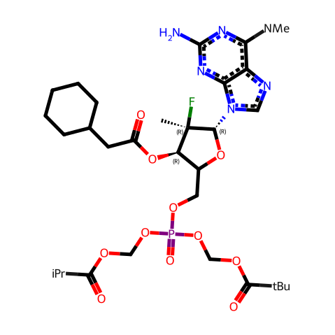 CNc1nc(N)nc2c1ncn2[C@@H]1OC(COP(=O)(OCOC(=O)C(C)C)OCOC(=O)C(C)(C)C)[C@@H](OC(=O)CC2CCCCC2)[C@@]1(C)F